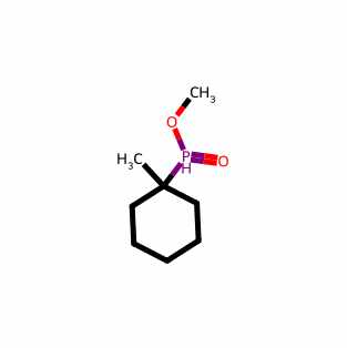 CO[PH](=O)C1(C)CCCCC1